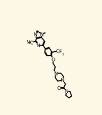 Cn1cnc2c(C#N)nc(-c3ccc(OCCCN4CCN(CC(=O)N5CCCC5)CC4)c(C(F)(F)F)c3)cc21